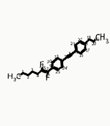 CCCCCC(F)=C(F)c1ccc(C#Cc2ccc(CCC)cc2)cc1